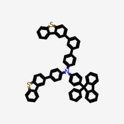 c1ccc(C2(c3ccc(N(c4ccc(-c5cccc(-c6ccc7sc8ccccc8c7c6)c5)cc4)c4ccc(-c5ccc6sc7ccccc7c6c5)cc4)cc3)c3ccccc3-c3ccccc32)cc1